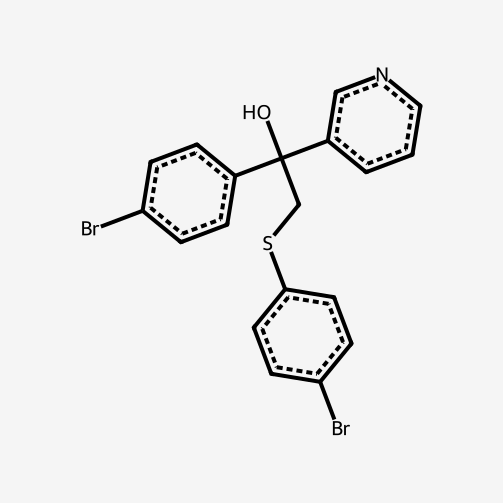 OC(CSc1ccc(Br)cc1)(c1ccc(Br)cc1)c1cccnc1